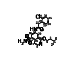 CC(C)CCOc1nccc2c(S(N)(=O)=O)cc(NC(=O)Cc3ccccc3Cl)cc12